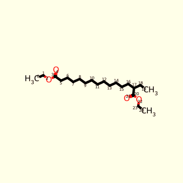 CCOC(=O)CCCCCCCCCCCCC(CC)C(=O)OCC